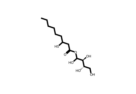 CCCCCCC(S)CC(=O)OC(O)[C@@H](O)[C@@H](O)CO